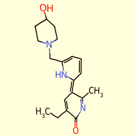 CCC1=CC(=C2C=CC=C(CN3CCC(O)CC3)N2)C(C)=NC1=O